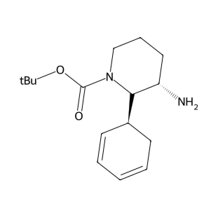 CC(C)(C)OC(=O)N1CCC[C@H](N)C1[C@@H]1C=CC=CC1